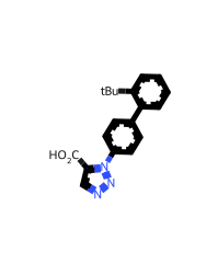 CC(C)(C)c1ccccc1-c1ccc(-n2nncc2C(=O)O)cc1